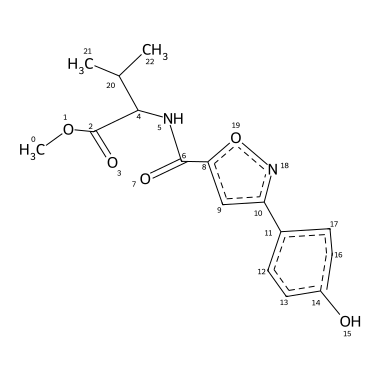 COC(=O)C(NC(=O)c1cc(-c2ccc(O)cc2)no1)C(C)C